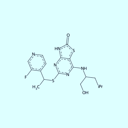 CC(C)CC(CO)Nc1nc(SC(C)c2ccncc2F)nc2[nH]c(=O)sc12